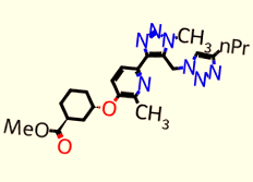 CCCc1cn(Cc2c(-c3ccc(O[C@H]4CCC[C@H](C(=O)OC)C4)c(C)n3)nnn2C)nn1